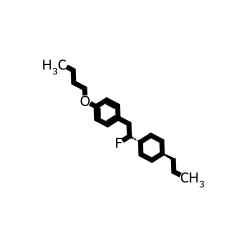 CCCCOc1ccc(CC(F)[C@H]2CC[C@H](CCC)CC2)cc1